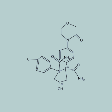 NC(=O)[C@]1(c2ccc(N3CCOCC3=O)cc2)C[C@H](O)C[N+]1(C(N)=O)c1ccc(Cl)cc1